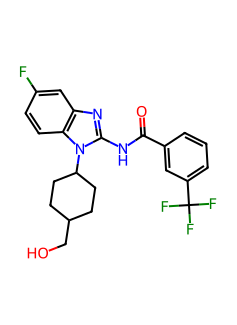 O=C(Nc1nc2cc(F)ccc2n1C1CCC(CO)CC1)c1cccc(C(F)(F)F)c1